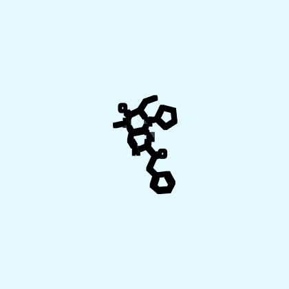 CCC1C(=O)N(C)c2cnc(C(=O)Cc3ccccc3)nc2N1C1CCCC1